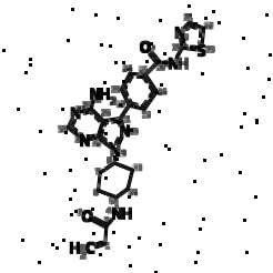 C=CC(=O)NC1CCC(n2nc(-c3ccc(C(=O)Nc4nccs4)cc3)c3c(N)ncnc32)CC1